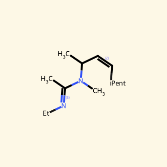 CCCC(C)/C=C\C(C)N(C)/C(C)=N/CC